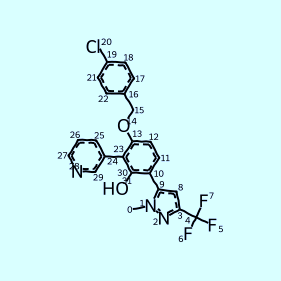 Cn1nc(C(F)(F)F)cc1-c1ccc(OCc2ccc(Cl)cc2)c(-c2cccnc2)c1O